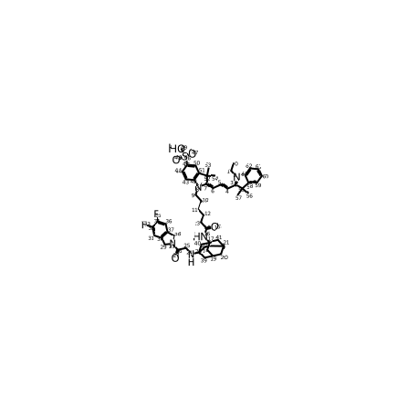 CC[N+]1=C(/C=C/C=C2/N(CCCCCC(=O)NC34CC5CC(CC(NCC(=O)N6Cc7cc(F)c(F)cc7C6)(C5)C3)C4)c3ccc(S(=O)(=O)O)cc3C2(C)C)C(C)(C)c2ccccc21